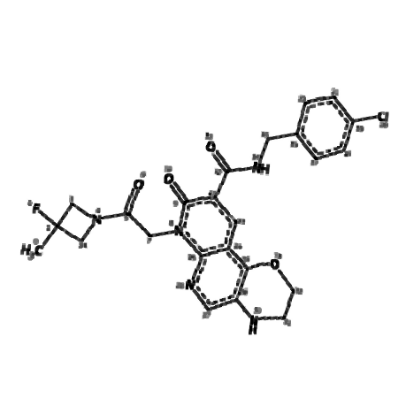 CC1(F)CN(C(=O)Cn2c(=O)c(C(=O)NCc3ccc(Cl)cc3)cc3c4c(cnc32)NCCO4)C1